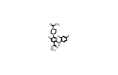 COC(=O)c1cc(F)c(N2CCN(C(C)=O)CC2)nc1Nc1ccc(F)cc1F